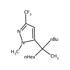 CCCCCCC(C)(CCCC)c1cc(C(F)(F)F)nn1C